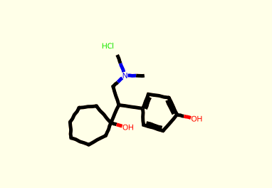 CN(C)CC(c1ccc(O)cc1)C1(O)CCCCCC1.Cl